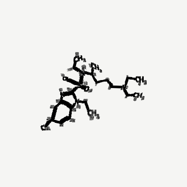 CCN(CC)CCCC(C)N(CC)S(=O)(=O)c1nc2cc(Cl)ccc2n1CC